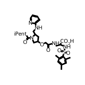 CCCC(C)C(=O)N1CC(OCC(=O)NCC(NS(=O)(=O)c2c(C)cc(C)cc2C)C(=O)O)CC1CNc1ccccn1